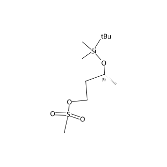 C[C@H](CCOS(C)(=O)=O)O[Si](C)(C)C(C)(C)C